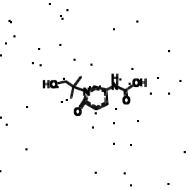 CC(C)(CO)n1cc(NC(=O)O)ccc1=O